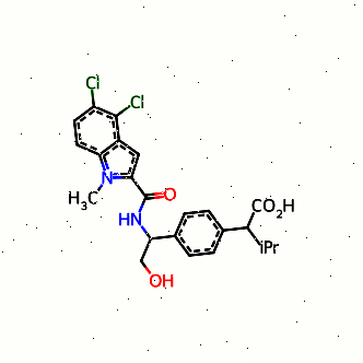 CC(C)C(C(=O)O)c1ccc(C(CO)NC(=O)c2cc3c(Cl)c(Cl)ccc3n2C)cc1